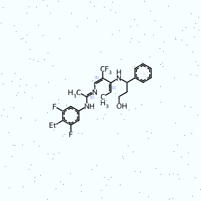 C\C=C(NC(CCO)c1ccccc1)/C(=C\N=C(/C)Nc1cc(F)c(CC)c(F)c1)C(F)(F)F